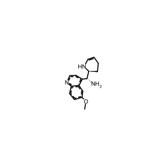 COc1ccc2nccc([C@@H](N)[C@@H]3CCC=CN3)c2c1